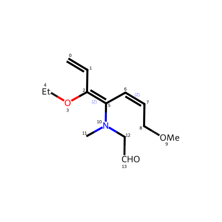 C=C/C(OCC)=C(\C=C/COC)N(C)CC=O